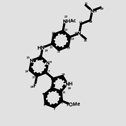 COc1cccc2c(-c3nc(Nc4ccc(N(C)CCN(C)C)c(NC(C)=O)c4)ncc3F)c[nH]c12